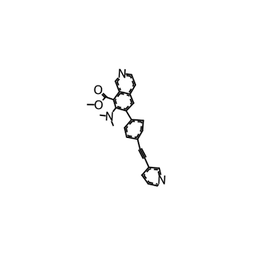 COC(=O)c1c(N(C)C)c(-c2ccc(C#Cc3cccnc3)cc2)cc2ccncc12